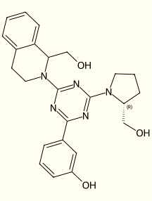 OCC1c2ccccc2CCN1c1nc(-c2cccc(O)c2)nc(N2CCC[C@@H]2CO)n1